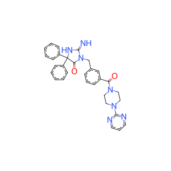 N=C1NC(c2ccccc2)(c2ccccc2)C(=O)N1Cc1cccc(C(=O)N2CCN(c3ncccn3)CC2)c1